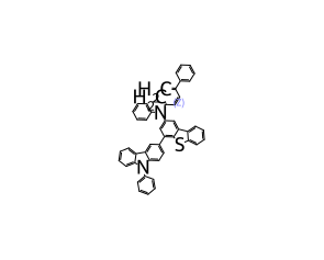 C=C(/C=C\C(=C)N(c1ccccc1)c1cc(-c2ccc3c(c2)c2ccccc2n3-c2ccccc2)c2sc3ccccc3c2c1)c1ccccc1